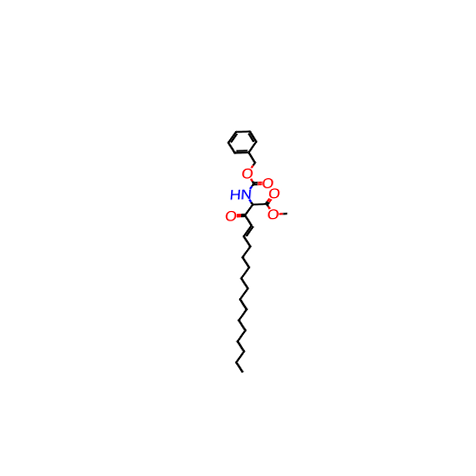 CCCCCCCCCCCCC/C=C/C(=O)C(NC(=O)OCc1ccccc1)C(=O)OC